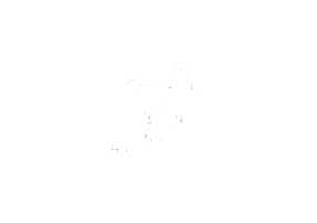 Cn1cnc(C(C)(C)C)n1